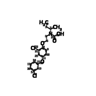 CCC(C)N(CCOc1ccc(Oc2cccc(Cl)c2)cc1Cl)C(=O)O